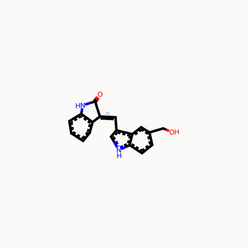 O=C1Nc2ccccc2/C1=C\c1c[nH]c2ccc(CO)cc12